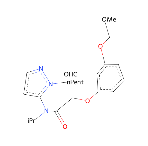 CCCCCn1nccc1N(C(=O)COc1cccc(OCOC)c1C=O)C(C)C